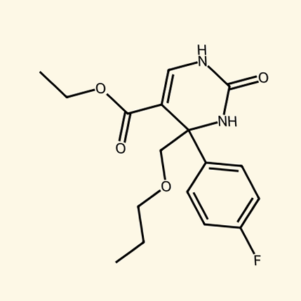 CCCOCC1(c2ccc(F)cc2)NC(=O)NC=C1C(=O)OCC